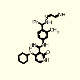 Cc1cc(NC(=N)c2c(NC3CCCCC3)cc[nH]c2=O)ccc1C(N/N=C\C=N)C(C)C